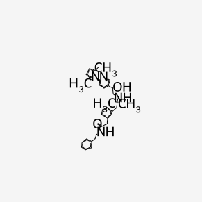 Cc1ccc(C)n1-c1ccc([C@@H](O)CNC(C)(C)Cc2cccc(CC(=O)NCCc3ccccc3)c2)cn1